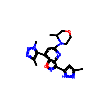 Cc1cc(-c2noc3c(-c4c(C)nnn4C)cc(N4CCOCC4C)nc23)[nH]n1